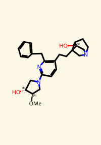 CO[C@@H]1CN(c2ccc(CC[C@@]3(O)CN4CCC3CC4)c(Cc3ccccc3)n2)C[C@H]1O